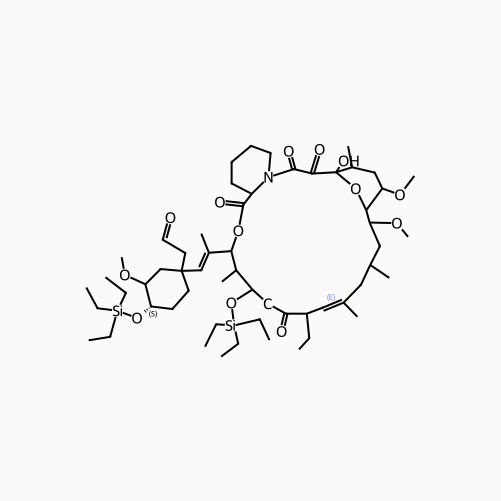 CCC1/C=C(\C)CC(C)CC(OC)C2OC(O)(C(=O)C(=O)N3CCCCC3C(=O)OC(C(C)=CC3(CC=O)CC[C@H](O[Si](CC)(CC)CC)C(OC)C3)C(C)C(O[Si](CC)(CC)CC)CC1=O)C(C)CC2OC